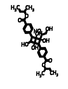 CCC(C)OC(=O)c1ccc(C2C(O)[C@@]3(O)C(c4ccc(C(=O)OC(C)CC)cc4)[C@@](O)([C@H](O)CO)[C@@]23O)cc1